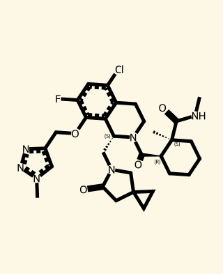 CNC(=O)[C@@]1(C)CCCC[C@H]1C(=O)N1CCc2c(Cl)cc(F)c(OCc3cn(C)nn3)c2[C@H]1CN1CC2(CC2)CC1=O